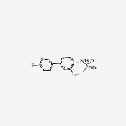 O=S1(=O)CCc2cc(-c3ccc(F)cc3)ccc2N1